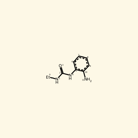 CCNC(=O)Nc1ccccc1N